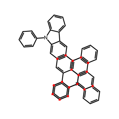 c1ccc(-c2ccccc2-c2c(-c3ccccc3)cccc2-c2ccccc2N(c2ccccc2)c2cccc(-c3ccc4c(c3)c3ccccc3n4-c3ccccc3)c2)cc1